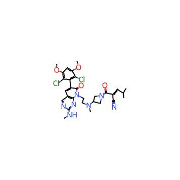 CNc1ncc2cc(-c3c(Cl)c(OC)cc(OC)c3Cl)c(=O)n(CCN(C)C3CN(C(=O)C(C#N)=CC(C)C)C3)c2n1